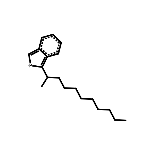 CCCCCCCCCC(C)C1=c2ccccc2=C[P]1